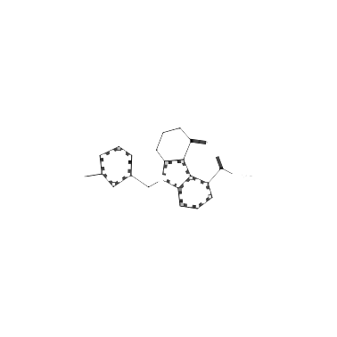 COC(=O)c1cccc2c1c1c(n2Cc2cccc(I)c2)CCCC1=O